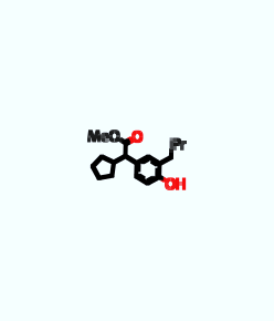 COC(=O)C(c1ccc(O)c(CC(C)C)c1)C1CCCC1